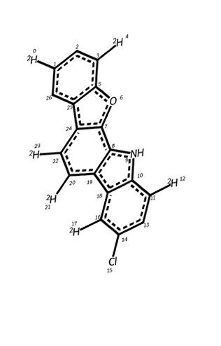 [2H]c1cc([2H])c2oc3c4[nH]c5c([2H])cc(Cl)c([2H])c5c4c([2H])c([2H])c3c2c1